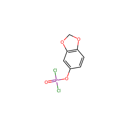 O=P(Cl)(Cl)Oc1ccc2c(c1)OCO2